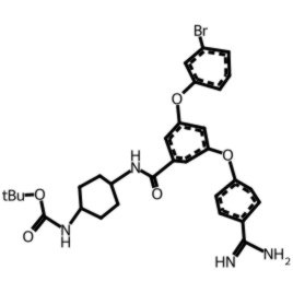 CC(C)(C)OC(=O)NC1CCC(NC(=O)c2cc(Oc3ccc(C(=N)N)cc3)cc(Oc3cccc(Br)c3)c2)CC1